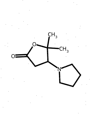 CC1(C)OC(=O)CC1N1CCCC1